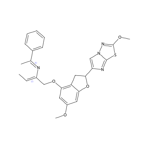 C/C=C(COc1cc(OC)cc2c1CC(c1cn3nc(OC)sc3n1)O2)\N=C(/C)c1ccccc1